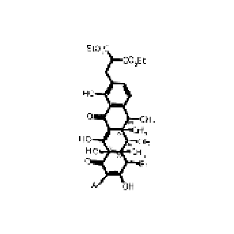 CCOC(=O)C(Cc1ccc2c(c1O)C(=O)C1=C(O)[C@@]3(O)C(=O)C(C(C)=O)=C(O)C(C(C)C)[C@@]3(C)[C@H](O)[C@@]1(C)[C@@H]2C)C(=O)OCC